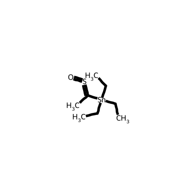 C[CH2][Sn]([CH2]C)([CH2]C)[C](C)=S=O